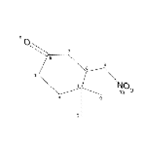 CC1(C)CCC(=O)CC1C[N+](=O)[O-]